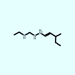 CCNCN[SiH2]C=CC(C)CC